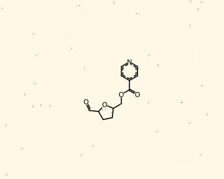 O=CC1CCC(COC(=O)c2ccncc2)O1